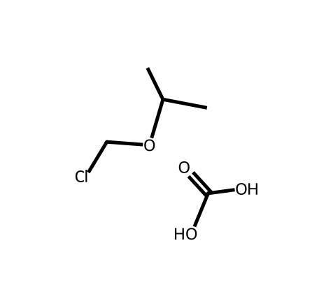 CC(C)OCCl.O=C(O)O